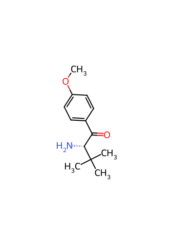 COc1ccc(C(=O)[C@@H](N)C(C)(C)C)cc1